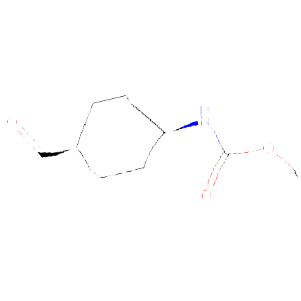 COC(=O)N[C@H]1CC[C@@H](C=O)CC1